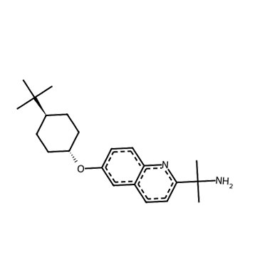 CC(C)(N)c1ccc2cc(O[C@H]3CC[C@H](C(C)(C)C)CC3)ccc2n1